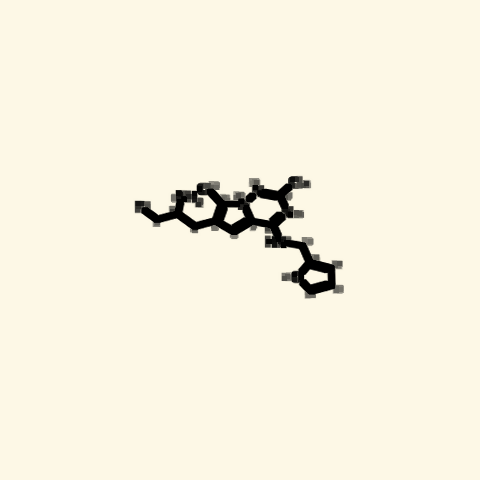 NC(CF)Cc1cc2c(NCc3ccco3)nc(Cl)nn2c1Cl